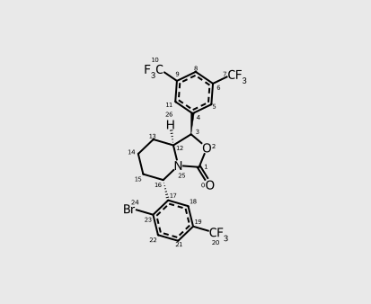 O=C1O[C@H](c2cc(C(F)(F)F)cc(C(F)(F)F)c2)[C@@H]2CCC[C@@H](c3cc(C(F)(F)F)ccc3Br)N12